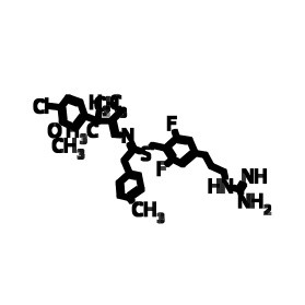 C=C/C(=C\N=C(/Cc1ccc(C)cc1)SCc1c(F)cc(CCCNC(=N)N)cc1F)C(C)(C)c1ccc(Cl)c(OC)c1